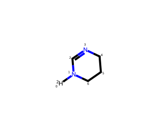 [2H]N1C=NCCC1